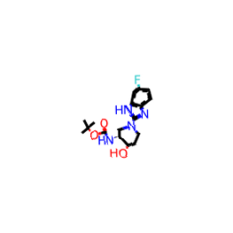 CC(C)(C)OC(=O)N[C@@H]1CN(c2nc3ccc(F)cc3[nH]2)CC[C@H]1O